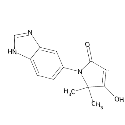 CC1(C)C(O)=[C]C(=O)N1c1ccc2[nH]cnc2c1